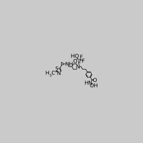 Cc1ncc(C2CC2NCC2CCN(CCCc3ccc(C(=O)NO)cc3)CC2)s1.O=C(O)C(F)(F)F